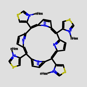 CCCCCC[n+]1cscc1-c1c2nc(c(-c3csc[n+]3CCCCCC)c3ccc([nH]3)c(-c3csc[n+]3CCCCCC)c3nc(c(-c4csc[n+]4CCCCCC)c4ccc1[nH]4)C=C3)C=C2